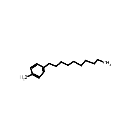 Bc1ccc(CCCCCCCCCC)cc1